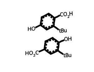 CC(C)(C)c1cc(C(=O)O)ccc1O.CC(C)(C)c1cc(O)ccc1C(=O)O